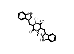 CN1C(=O)C(CC2CNc3ccccc32)N(C)C(=O)C1CC1CNc2ccccc21